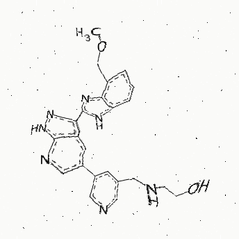 COCc1cccc2[nH]c(-c3n[nH]c4ncc(-c5cncc(CNCCO)c5)cc34)nc12